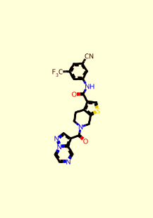 N#Cc1cc(NC(=O)c2csc3c2CCN(C(=O)c2cnn4ccncc24)C3)cc(C(F)(F)F)c1